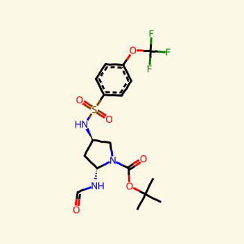 CC(C)(C)OC(=O)N1C[C@H](NS(=O)(=O)c2ccc(OC(F)(F)F)cc2)C[C@H]1NC=O